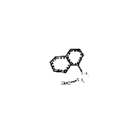 CO[SiH3].Cc1cccc2ccccc12